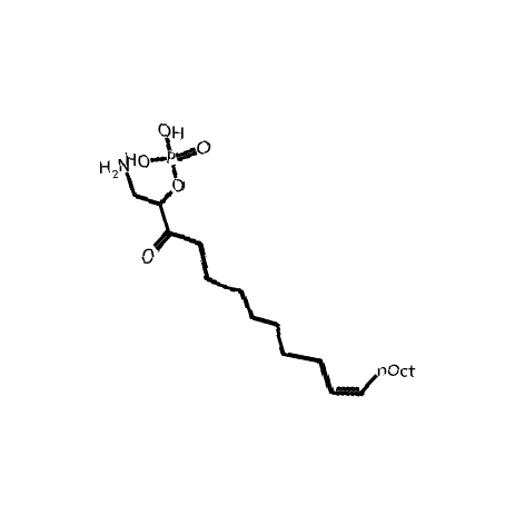 CCCCCCCC/C=C\CCCCCCCC(=O)C(CN)OP(=O)(O)O